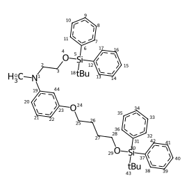 CN(CCO[Si](c1ccccc1)(c1ccccc1)C(C)(C)C)c1cccc(OCCCCO[Si](c2ccccc2)(c2ccccc2)C(C)(C)C)c1